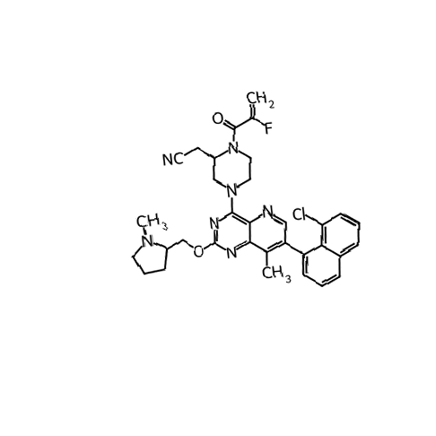 C=C(F)C(=O)N1CCN(c2nc(OCC3CCCN3C)nc3c(C)c(-c4cccc5cccc(Cl)c45)cnc23)CC1CC#N